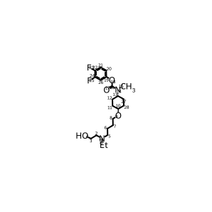 CCN(CCO)CCCCO[C@H]1CC[C@H](N(C)C(=O)Oc2ccc(F)c(F)c2)CC1